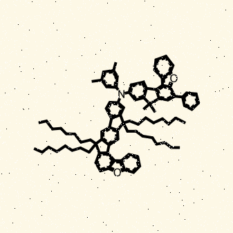 CCCCCCCCC1(CCCCCCCC)c2cc(N(c3cc(C)cc(C)c3)c3ccc4c(c3)C(C)(C)c3cc(-c5ccccc5)c5oc6ccccc6c5c3-4)ccc2-c2cc3c(cc21)-c1c(ccc2oc4ccccc4c12)C3(CCCCCCCC)CCCCCCCC